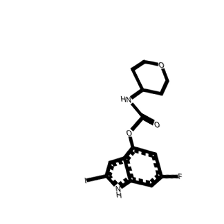 O=C(NC1CCOCC1)Oc1cc(F)cc2[nH]c(I)cc12